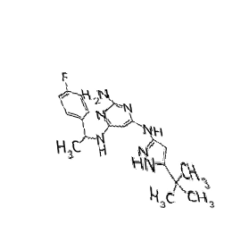 CC(Nc1cc(Nc2cc(C(C)(C)C)[nH]n2)nc(N)n1)c1ccc(F)cc1